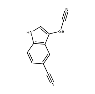 N#C[Se]c1c[nH]c2ccc(C#N)cc12